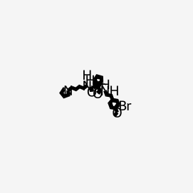 COc1ccc(CCNC(=O)[C@H]2[C@H](C(=O)NCCCCN3CCCC3)[C@H]3C=C[C@@H]2C32CC2)cc1Br